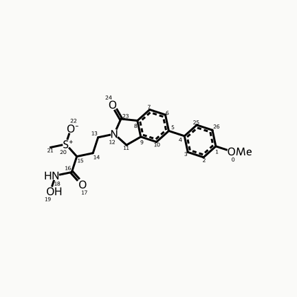 COc1ccc(-c2ccc3c(c2)CN(CCC(C(=O)NO)[S+](C)[O-])C3=O)cc1